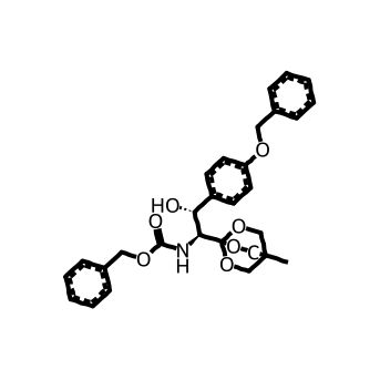 CC12COC([C@@H](NC(=O)OCc3ccccc3)[C@H](O)c3ccc(OCc4ccccc4)cc3)(OC1)OC2